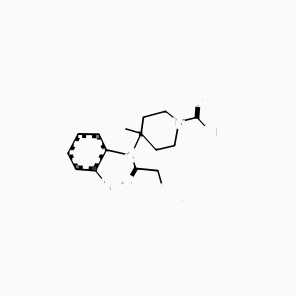 CCOC(=O)CC(=O)N(c1ccccc1N)C1(C)CCN(C(=O)C(F)(F)F)CC1